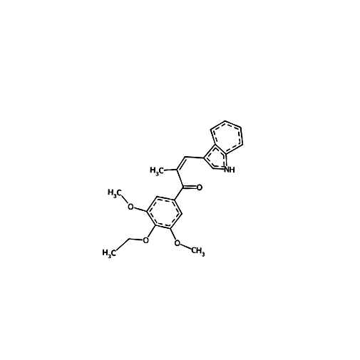 CCOc1c(OC)cc(C(=O)C(C)=Cc2c[nH]c3ccccc23)cc1OC